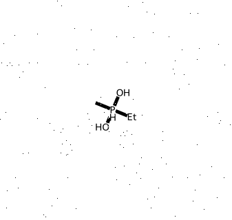 CC[PH](C)(O)O